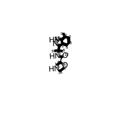 Cc1cccc2c(C(C)(C)NC(=O)[C@@H]3CNCCO3)n[nH]c12